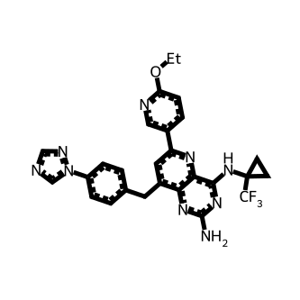 CCOc1ccc(-c2cc(Cc3ccc(-n4cncn4)cc3)c3nc(N)nc(NC4(C(F)(F)F)CC4)c3n2)cn1